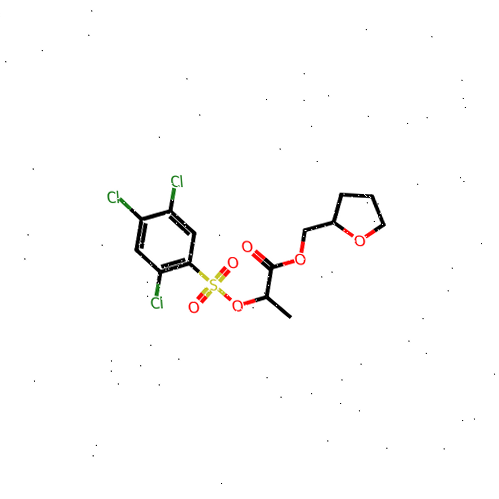 CC(OS(=O)(=O)c1cc(Cl)c(Cl)cc1Cl)C(=O)OCC1CCCO1